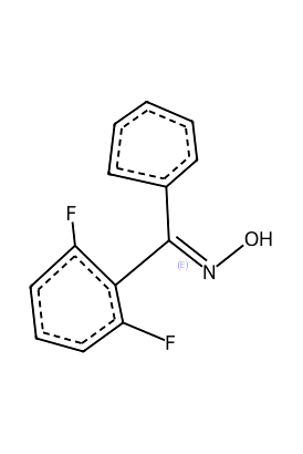 O/N=C(\c1ccccc1)c1c(F)cccc1F